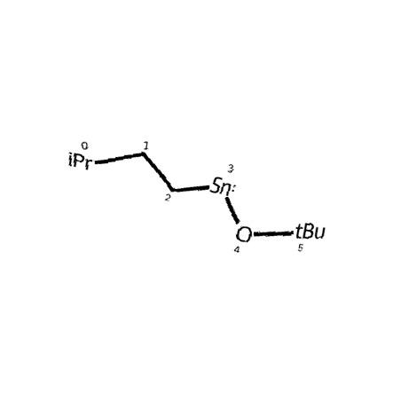 CC(C)C[CH2][Sn][O]C(C)(C)C